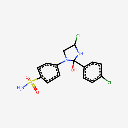 NS(=O)(=O)c1ccc(N2CC(Cl)NC2(O)c2ccc(Cl)cc2)cc1